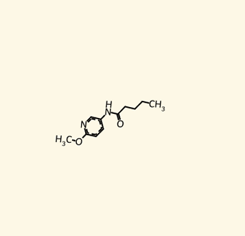 CCCCC(=O)Nc1ccc(OC)nc1